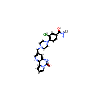 CCNC(=O)c1ccc(N2CCN(Cc3cnc4c(c3)[nH]c(=O)n3cccc43)CC2)c(Cl)c1